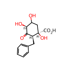 O=C1[C@@H](O)C(O)C[C@](O)(C(=O)O)[C@H]1Cc1ccccc1